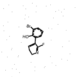 Oc1c(Br)cccc1C1=CCCN=C1F